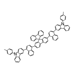 Cc1ccc(-n2c3ccccc3c3cc(-c4ccc(-c5ccc6c(c5)C5(c7ccccc7-c7ccccc75)c5cc(-c7ccc(-c8ccc9c(c8)c8ccccc8n9-c8ccc(C)cc8)c8ccccc78)ccc5-6)c5ccccc45)ccc32)cc1